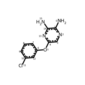 Nc1ncc(Oc2cccc(Cl)c2)nc1N